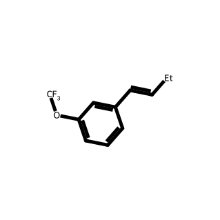 CC/C=C/c1cccc(OC(F)(F)F)c1